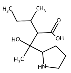 CCC(C)C(C(=O)O)C(C)(O)C1CCCN1